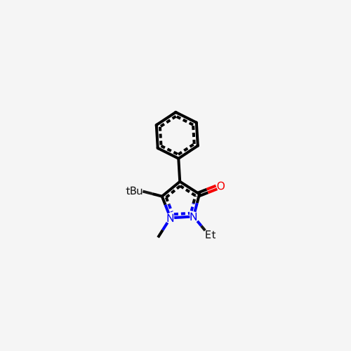 CCn1c(=O)c(-c2ccccc2)c(C(C)(C)C)n1C